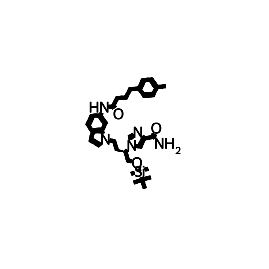 Cc1ccc(CCCC(=O)Nc2ccc3ccn(CC[C@H](CO[Si](C)(C)C(C)(C)C)n4cnc(C(N)=O)c4)c3c2)cc1